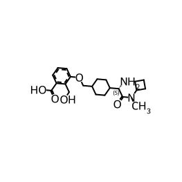 CN(C(=O)[C@@H](N)C1CCC(COc2cccc(C(=O)O)c2CO)CC1)C1CCC1